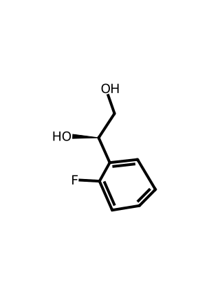 OC[C@H](O)c1ccccc1F